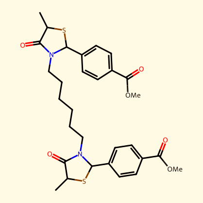 COC(=O)c1ccc(C2SC(C)C(=O)N2CCCCCCN2C(=O)C(C)SC2c2ccc(C(=O)OC)cc2)cc1